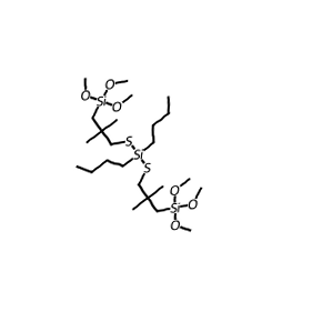 CCCC[Si](CCCC)(SCC(C)(C)C[Si](OC)(OC)OC)SCC(C)(C)C[Si](OC)(OC)OC